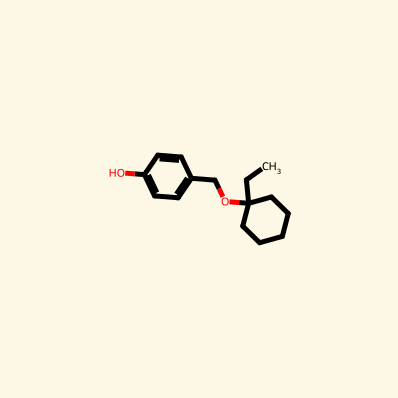 CCC1(OCc2ccc(O)cc2)CCCCC1